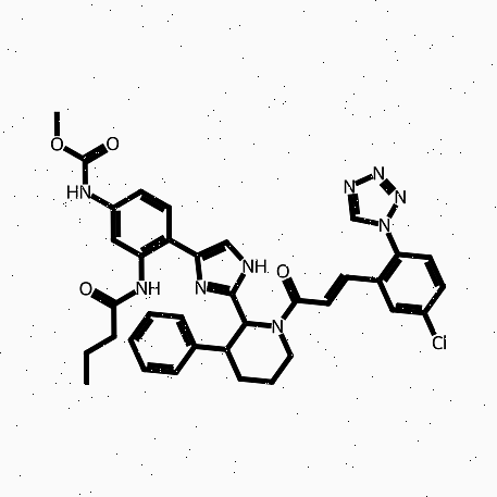 CCCC(=O)Nc1cc(NC(=O)OC)ccc1-c1c[nH]c(C2C(c3ccccc3)CCCN2C(=O)/C=C/c2cc(Cl)ccc2-n2cnnn2)n1